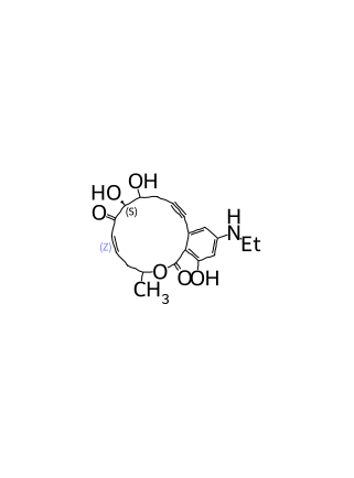 CCNc1cc(O)c2c(c1)C#CCC(O)[C@H](O)C(=O)/C=C\CC(C)OC2=O